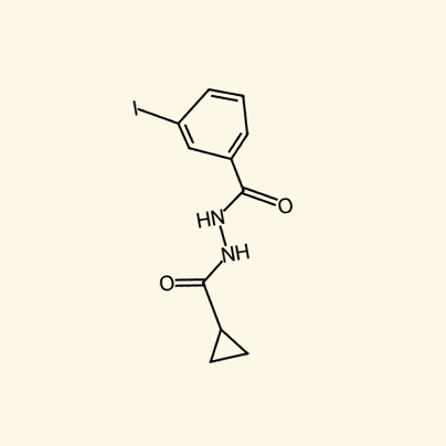 O=C(NNC(=O)C1CC1)c1cccc(I)c1